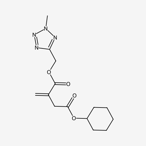 C=C(CC(=O)OC1CCCCC1)C(=O)OCc1nnn(C)n1